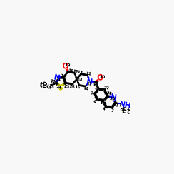 CCNc1ccc2ccc(C(=O)N3CCC4(CC3)CC(=O)c3nc(C(C)(C)C)sc3C4)cc2n1